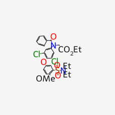 CCOC(=O)CN(C(=O)c1ccccc1)c1cc(Cl)c(Oc2ccc(OC)c(S(=O)(=O)N(CC)CC)c2)c(Cl)c1